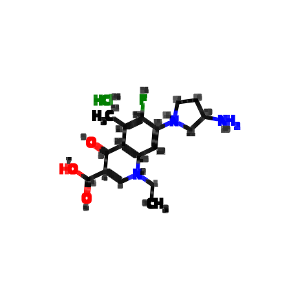 CCn1cc(C(=O)O)c(=O)c2c(C)c(F)c(N3CCC(N)C3)cc21.Cl